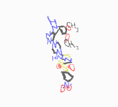 COc1cc2[nH]c3ncnc(N4CCN(C(=S)Nc5ncc(S(=O)(=O)c6ccc([N+](=O)[O-])cc6)s5)CC4)c3c2cc1OC